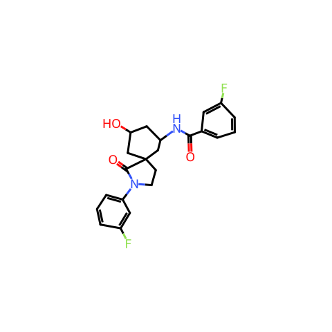 O=C(NC1CC(O)CC2(CCN(c3cccc(F)c3)C2=O)C1)c1cccc(F)c1